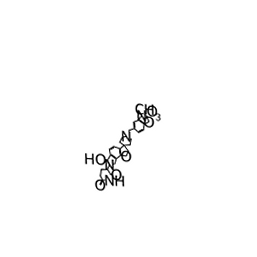 Cn1c(=O)oc2ccc(CN3CCC4(CC3)COc3c4ccc4c3CN(C3CCC(=O)NC3=O)C4O)cc21